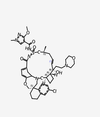 COc1nn(C)cc1C(=O)N[S@@]1(=O)=NC(=O)C2=CC=C3OC[C@]4(CCCc5cc(Cl)ccc54)CN(C[C@@H]4CC[C@H]4[C@](O)(CCN4CCOCC4)/C=C/C[C@H](C)C1)C3C2